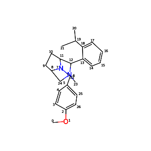 COc1ccc(CN2C3CCC2C(c2ccccc2C(C)C)N(C)C3)cc1